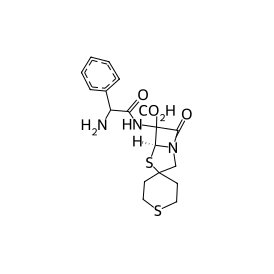 NC(C(=O)NC1(C(=O)O)C(=O)N2CC3(CCSCC3)S[C@H]21)c1ccccc1